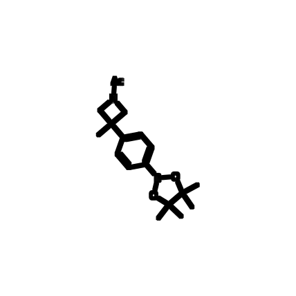 CC(=O)N1CC(C)(c2ccc(B3OC(C)(C)C(C)(C)O3)cc2)C1